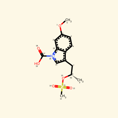 COc1ccc2c(C[C@H](C)OS(C)(=O)=O)cn(C(=O)O)c2c1